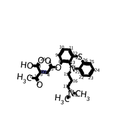 CC(=O)/C(=C/C(=O)Oc1cccc2c1N(CCCN(C)C)c1ccccc1S2)C(=O)O